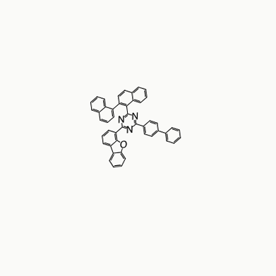 c1ccc(-c2ccc(-c3nc(-c4c(-c5cccc6ccccc56)ccc5ccccc45)nc(-c4cccc5c4oc4ccccc45)n3)cc2)cc1